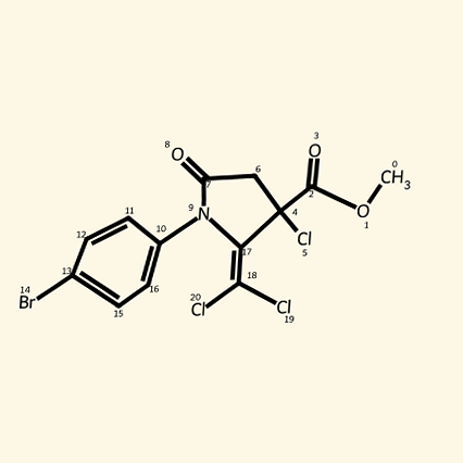 COC(=O)C1(Cl)CC(=O)N(c2ccc(Br)cc2)C1=C(Cl)Cl